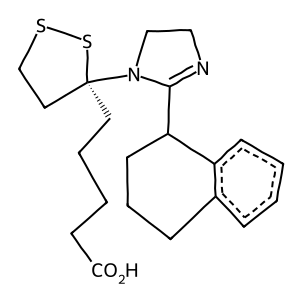 O=C(O)CCCC[C@]1(N2CCN=C2C2CCCc3ccccc32)CCSS1